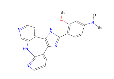 CCOc1cc(N(CC)CC)ccc1-c1nc2c([nH]1)-c1ccncc1Nc1ncccc1-2